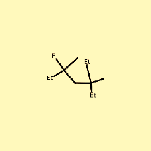 CCC(C)(F)CC(C)(CC)CC